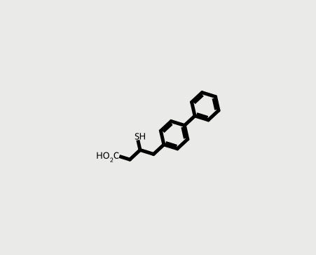 O=C(O)CC(S)Cc1ccc(-c2ccccc2)cc1